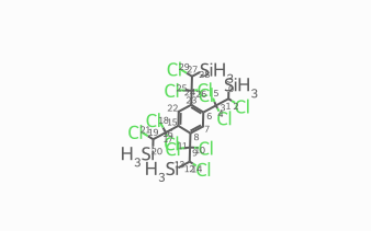 [SiH3]C(Cl)C(Cl)(Cl)c1cc(C(Cl)(Cl)C([SiH3])Cl)c(C(Cl)(Cl)C([SiH3])Cl)cc1C(Cl)(Cl)C([SiH3])Cl